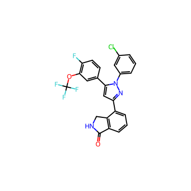 O=C1NCc2c1cccc2-c1cc(-c2ccc(F)c(OC(F)(F)F)c2)n(-c2cccc(Cl)c2)n1